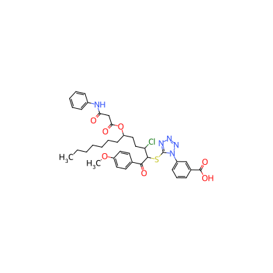 CCCCCCCC(CCC(Cl)C(Sc1nnnn1-c1cccc(C(=O)O)c1)C(=O)c1ccc(OC)cc1)OC(=O)CC(=O)Nc1ccccc1